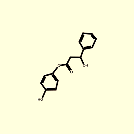 O=C(CC(O)c1ccccc1)Oc1ccc(O)cc1